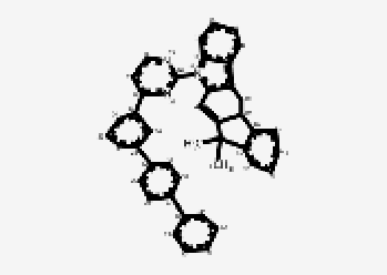 CC1(C)C2=Cc3c(c4ccccc4n3-c3nccc(-c4cccc(-c5ccc(-c6ccccc6)cc5)c4)n3)CC2c2ccccc21